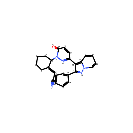 N#CC=C1CCCCC1n1nc(-c2c(-c3ccccc3)nn3ccccc23)ccc1=O